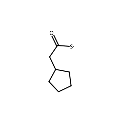 O=C([S])CC1CCCC1